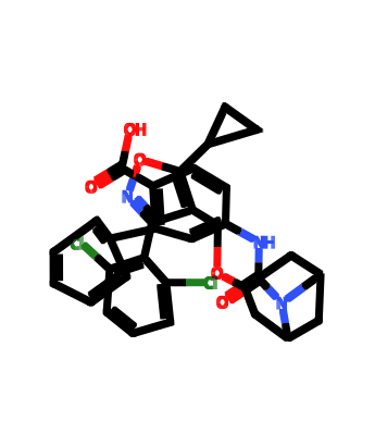 O=C(O)c1ccc(NC(=O)N2C3CC(OCc4c(-c5c(Cl)cccc5Cl)noc4C4CC4)CC2C3)cc1-c1ccccc1